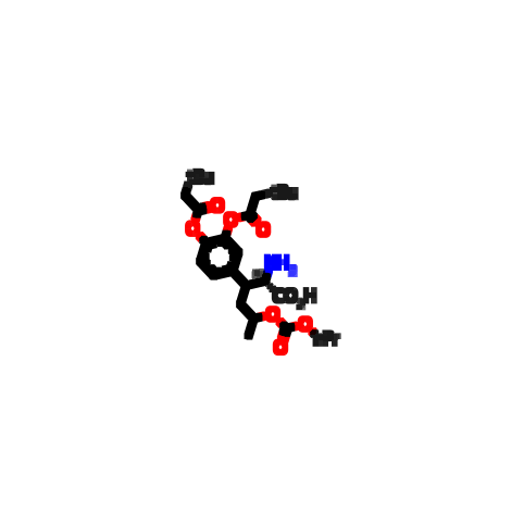 CCCOC(=O)OC(C)CC(c1ccc(OC(=O)CC(C)(C)C)c(OC(=O)CC(C)(C)C)c1)[C@H](N)C(=O)O